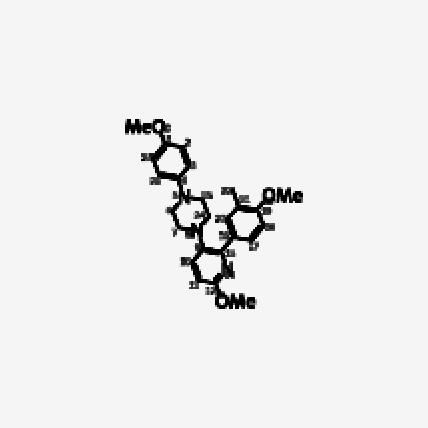 COc1ccc(N2CCN(c3ccc(OC)nc3-c3ccc(OC)c(C)c3)CC2)cc1